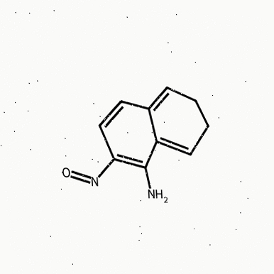 Nc1c(N=O)ccc2c1=CCCC=2